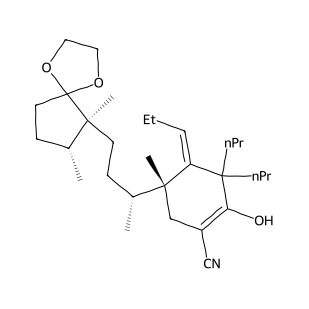 CC/C=C1/C(CCC)(CCC)C(O)=C(C#N)C[C@]1(C)[C@H](C)CC[C@@]1(C)[C@H](C)CCC12OCCO2